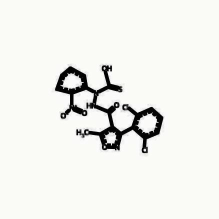 Cc1onc(-c2c(Cl)cccc2Cl)c1C(=O)NN(C(O)=S)c1ccccc1[N+](=O)[O-]